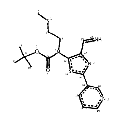 CSCCN(C(=O)OC(C)(C)C)c1sc(-c2cccnc2)nc1C=N